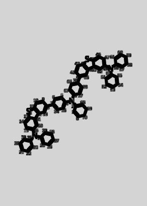 C1=CC(N(c2ccc(-c3ccc4sc5ccc(N(c6ccccc6)c6ccccc6)cc5c4c3)cc2)c2ccc(-c3ccc4sc5ccc(N(c6ccccc6)c6ccccc6)cc5c4c3)cc2)=CCC1